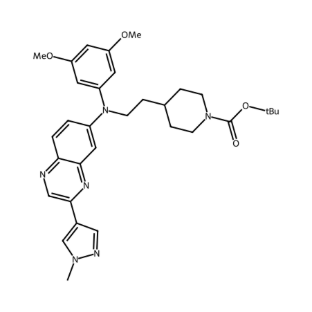 COc1cc(OC)cc(N(CCC2CCN(C(=O)OC(C)(C)C)CC2)c2ccc3ncc(-c4cnn(C)c4)nc3c2)c1